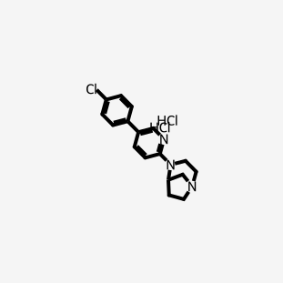 Cl.Cl.Clc1ccc(-c2ccc(N3CCN4CCC3C4)nc2)cc1